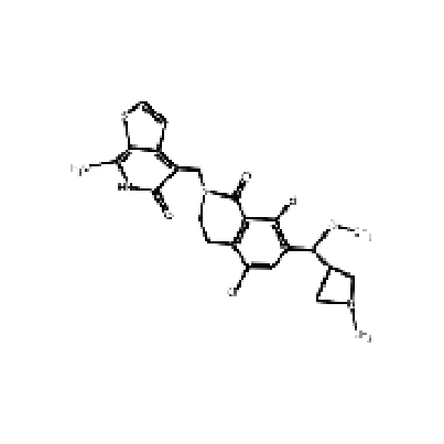 COC(c1cc(Cl)c2c(c1Cl)C(=O)N(Cc1c(=O)[nH]c(C)c3sccc13)CC2)C1CN(C)C1